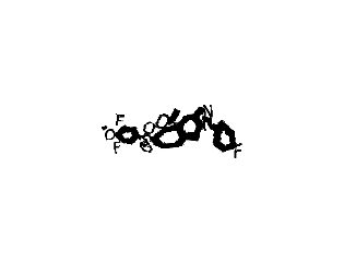 COc1c(F)cc(S(=O)(=O)C2CCC3=Cc4c(cnn4-c4ccc(F)cc4)C[C@]3(C(C)=O)C2)cc1F